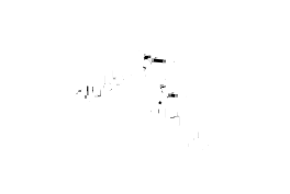 O.O.O.O=[N+]([O-])[O-].O=[N+]([O-])[O-].[Cl-].[Cl-].[Cu+2].[Cu+2].[Cu+2].[OH-].[OH-]